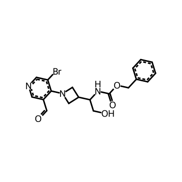 O=Cc1cncc(Br)c1N1CC(C(CO)NC(=O)OCc2ccccc2)C1